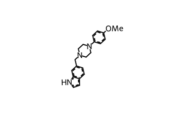 COc1ccc(N2CCN(Cc3ccc4cc[nH]c4c3)CC2)cc1